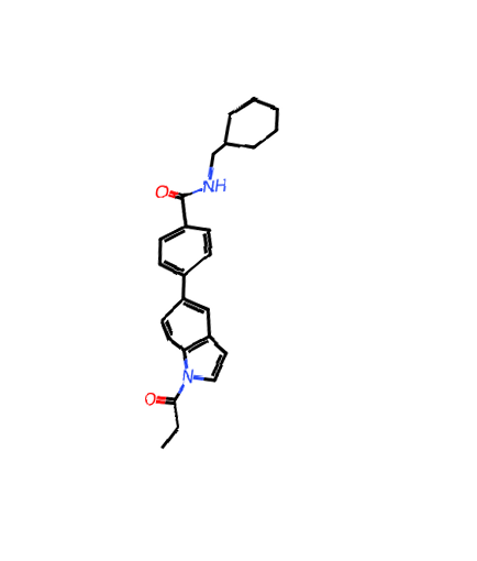 CCC(=O)n1ccc2cc(-c3ccc(C(=O)NCC4CCCCC4)cc3)ccc21